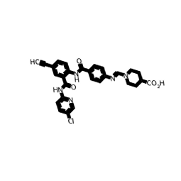 C#Cc1ccc(NC(=O)c2ccc(N=CN3CCC(C(=O)O)CC3)cc2)c(C(=O)Nc2ccc(Cl)cn2)c1